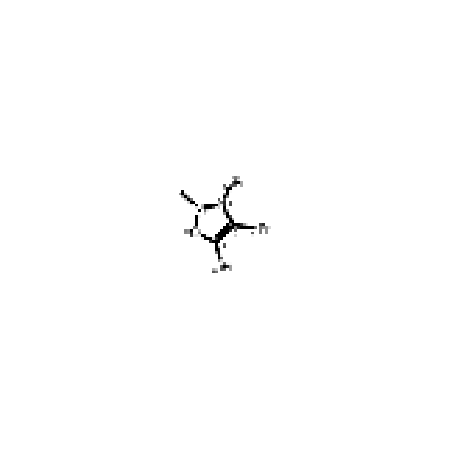 CC(C)C1=C(C(C)C)N(C(C)C)N(C)O1